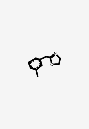 Cc1cccc(CC2=NCCO2)c1